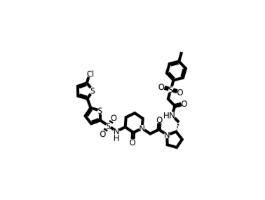 Cc1ccc(S(=O)(=O)CC(=O)NC[C@@H]2CCCN2C(=O)CN2CCCC(NS(=O)(=O)c3ccc(-c4ccc(Cl)s4)s3)C2=O)cc1